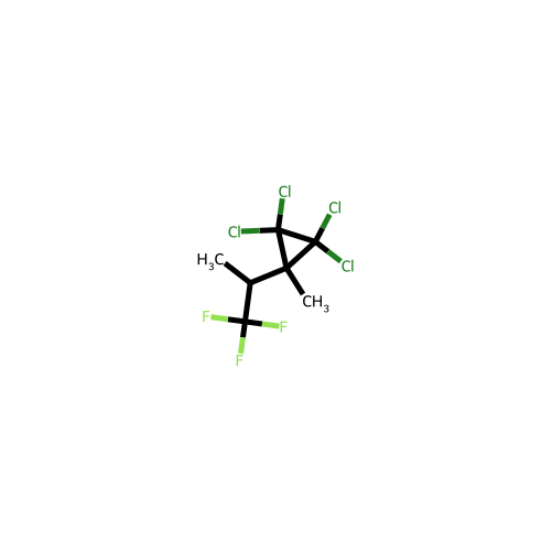 CC(C(F)(F)F)C1(C)C(Cl)(Cl)C1(Cl)Cl